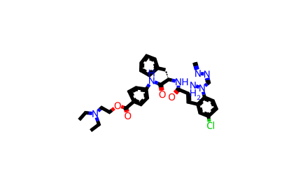 C=N/N=C\N(N)c1ccc(Cl)cc1/C=C/C(=O)N[C@@H](Cc1ccccc1)C(=O)Nc1ccc(C(=O)OCCN(CC)CC)cc1